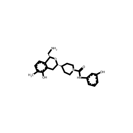 Cc1ccc2c(c1O)C[C@@H](C1CCN(C(=O)Nc3cccc(O)c3)CC1)O[C@H]2CN